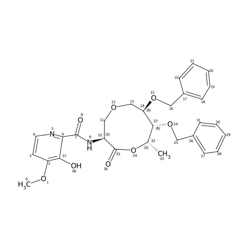 COc1ccnc(C(=O)N[C@H]2COC[C@@H](OCc3ccccc3)[C@H](OCc3ccccc3)[C@H](C)OC2=O)c1O